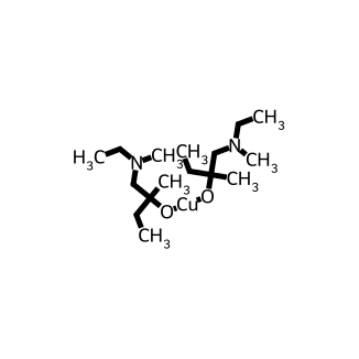 CCN(C)CC(C)(CC)[O][Cu][O]C(C)(CC)CN(C)CC